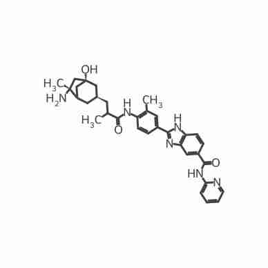 Cc1cc(-c2nc3cc(C(=O)Nc4ccccn4)ccc3[nH]2)ccc1NC(=O)C(C)C[C@H]1CC2C[C@@](O)(C1)C[C@@]2(C)N